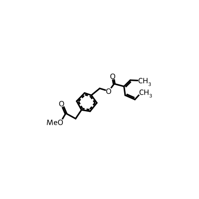 C/C=C\C(=C/C)C(=O)OCc1ccc(CC(=O)OC)cc1